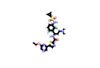 CCOc1cncc(-c2cnc(C(=O)NC(CCN(C)C)c3c(F)ccc(NS(=O)(=O)C4CC4)c3F)s2)n1